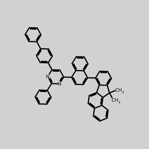 CC1(C)c2cccc(-c3ccc(-c4cc(-c5ccc(-c6ccccc6)cc5)nc(-c5ccccc5)n4)c4ccccc34)c2-c2ccc3ccccc3c21